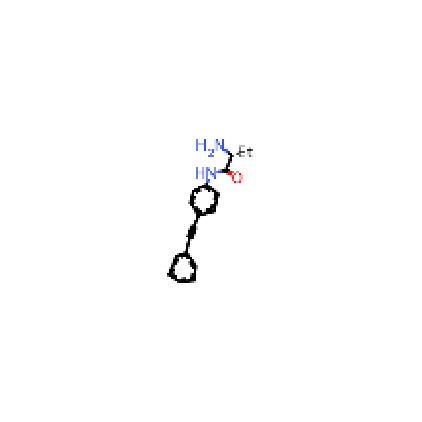 CC[C@@H](N)C(=O)Nc1ccc(C#Cc2ccccc2)cc1